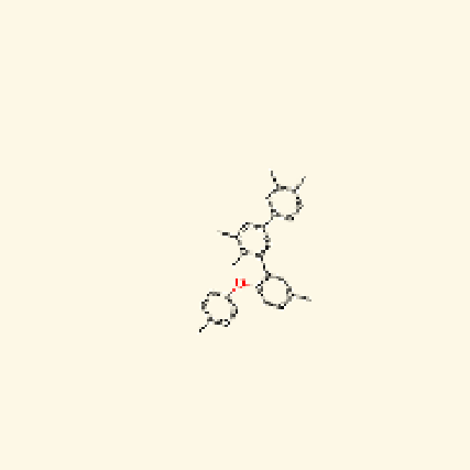 Cc1ccc(Oc2ccc(C)cc2-c2cc(-c3ccc(C)c(C)c3)cc(C)c2C)cc1